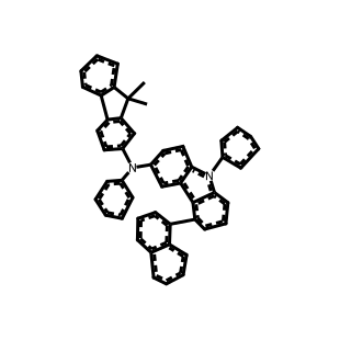 CC1(C)c2ccccc2-c2ccc(N(c3ccccc3)c3ccc4c(c3)c3c(-c5cccc6ccccc56)cccc3n4-c3ccccc3)cc21